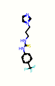 FC(F)(F)c1ccc(NC(=S)NCCCn2ccnc2)cc1